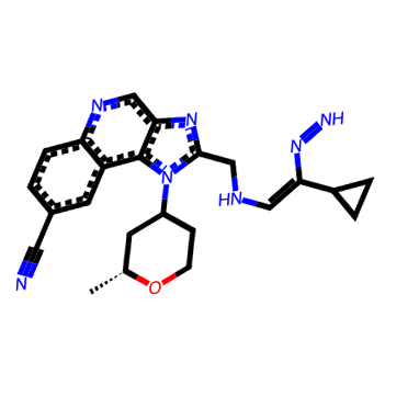 C[C@@H]1CC(n2c(CN/C=C(\N=N)C3CC3)nc3cnc4ccc(C#N)cc4c32)CCO1